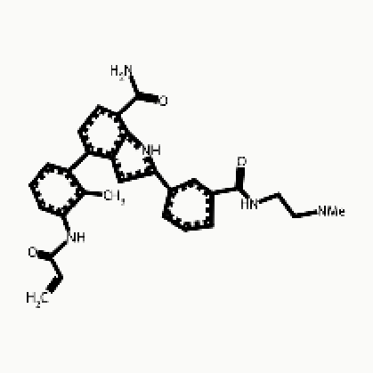 C=CC(=O)Nc1cccc(-c2ccc(C(N)=O)c3[nH]c(-c4cccc(C(=O)NCCNC)c4)cc23)c1C